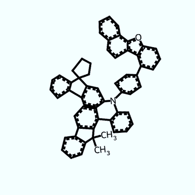 CC1(C)c2ccccc2-c2cccc(-c3ccccc3N(c3ccc(-c4cccc5oc6c7ccccc7ccc6c45)cc3)c3ccc4c(c3)C3(CCCC3)c3ccccc3-4)c21